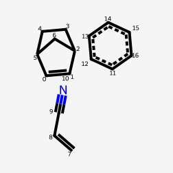 C1=CC2CCC1C2.C=CC#N.c1ccccc1